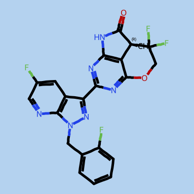 C[C@]12C(=O)Nc3nc(-c4nn(Cc5ccccc5F)c5ncc(F)cc45)nc(c31)OCC2(F)F